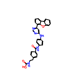 O=C(O)NCCc1ccc(C(=O)Nc2ccc(Nc3cc(-c4cccc5c4oc4ccccc45)ncn3)cc2)cc1